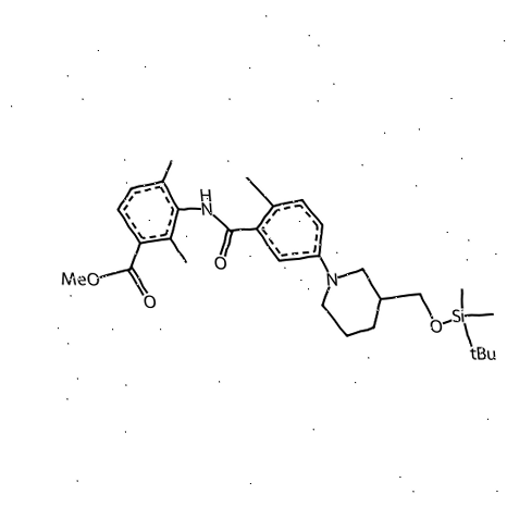 COC(=O)c1ccc(C)c(NC(=O)c2cc(N3CCCC(CO[Si](C)(C)C(C)(C)C)C3)ccc2C)c1C